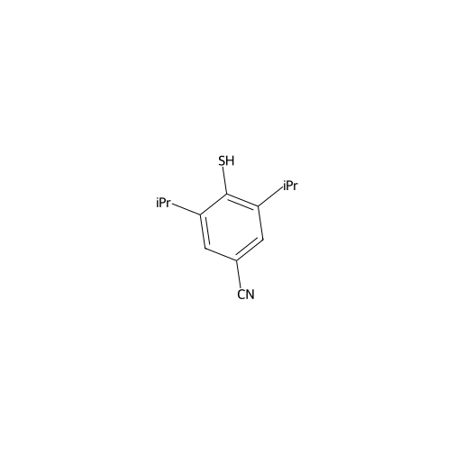 CC(C)c1cc(C#N)cc(C(C)C)c1S